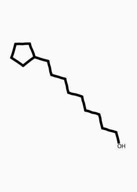 OCCCCCCCCCC1CCCC1